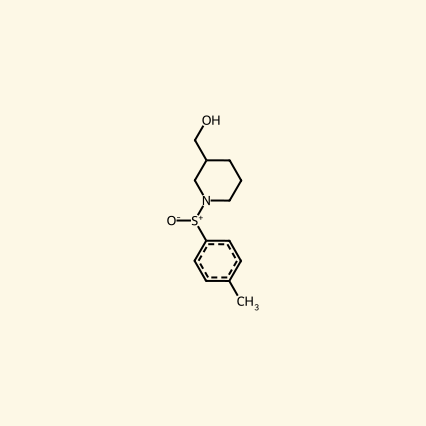 Cc1ccc([S+]([O-])N2CCCC(CO)C2)cc1